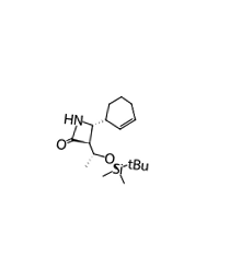 C[C@@H](O[Si](C)(C)C(C)(C)C)[C@H]1C(=O)N[C@@H]1C1C=CCCC1